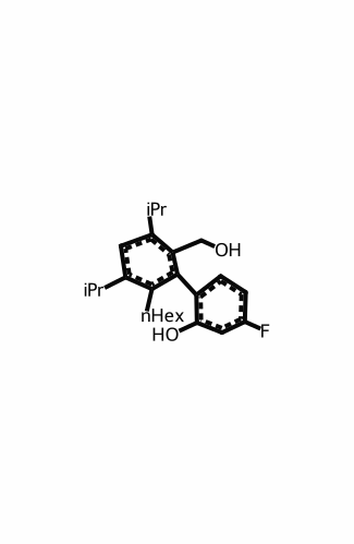 CCCCCCc1c(C(C)C)cc(C(C)C)c(CO)c1-c1ccc(F)cc1O